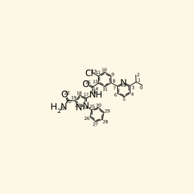 CC(C)c1cccc(-c2ccc(Cl)c(C(=O)Nc3cc(C(N)=O)nn3-c3ccccc3)c2)n1